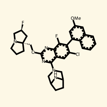 COc1cc(-c2c(Cl)cc3c(N4CC5CCC(C4)N5)nc(OC[C@]45CCCN4C[C@@H](F)C5)nc3c2F)c2ccccc2c1